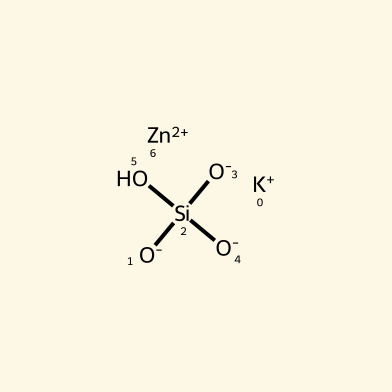 [K+].[O-][Si]([O-])([O-])O.[Zn+2]